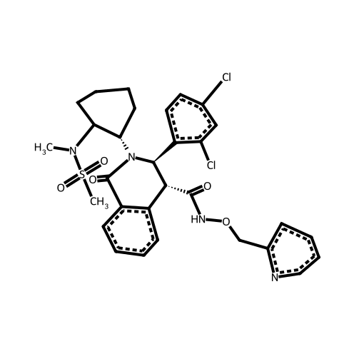 CN(C1CCCC[C@@H]1N1C(=O)c2ccccc2[C@@H](C(=O)NOCc2ccccn2)[C@@H]1c1ccc(Cl)cc1Cl)S(C)(=O)=O